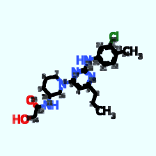 CCCc1cc(N2CCCC(NC(=O)CO)C2)nc(Nc2ccc(C)c(Cl)c2)n1